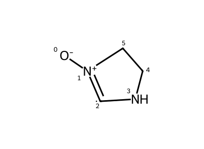 [O-][N+]1=[C]NCC1